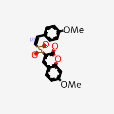 COc1ccc(/C=C\S(=O)(=O)c2cc3ccc(OC)cc3oc2=O)cc1